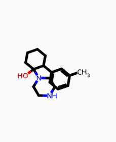 Cc1cccc(C2CCCCC2(O)N2CCNCC2)c1